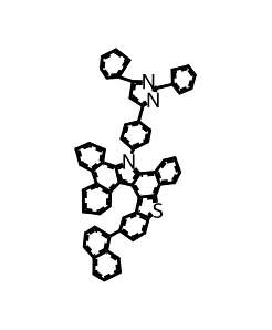 c1ccc(-c2cc(-c3ccc(-n4c5c6ccccc6c6ccccc6c5c5c6c7cc(-c8cccc9ccccc89)ccc7sc6c6ccccc6c54)cc3)nc(-c3ccccc3)n2)cc1